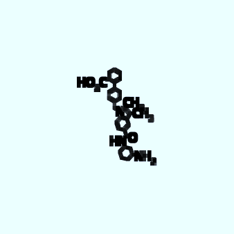 Cc1c(C)n(Cc2ccc(-c3ccccc3C(=O)O)cc2)c2ccc(C(=O)NC3CCCC(N)C3)cc12